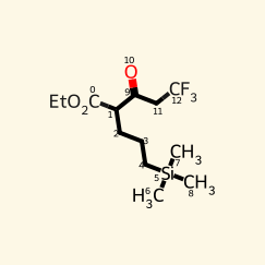 CCOC(=O)C(CCC[Si](C)(C)C)C(=O)CC(F)(F)F